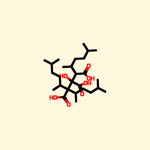 CC(C)CCC(C)C(C(=O)O)C(O)(C(=O)O)C(C(=O)O)(C(C)CCC(C)C)C(C)CCC(C)C